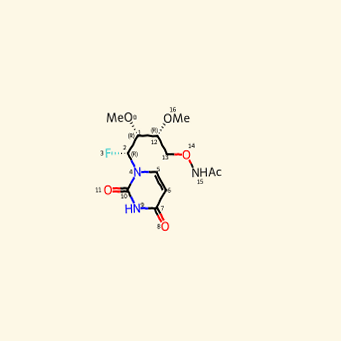 CO[C@@H]([C@@H](F)n1ccc(=O)[nH]c1=O)[C@@H](CONC(C)=O)OC